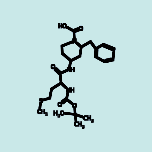 CSCCC(NC(=O)OC(C)(C)C)C(=O)NC1CCN(C(=O)O)C(Cc2ccccc2)C1